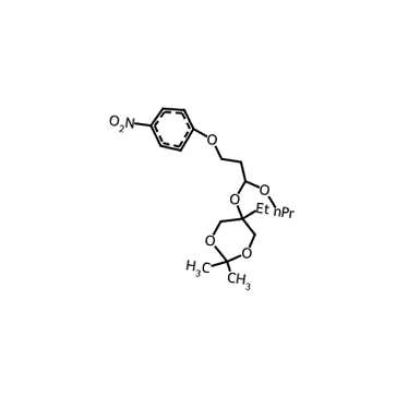 CCCOC(CCOc1ccc([N+](=O)[O-])cc1)OC1(CC)COC(C)(C)OC1